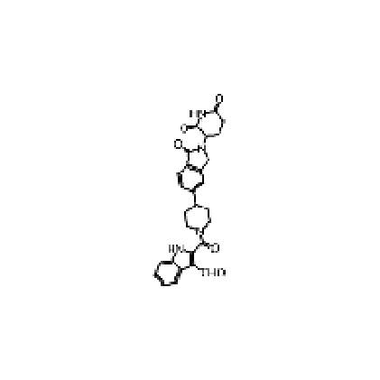 O=Cc1c(C(=O)N2CCC(c3ccc4c(c3)CN(C3CCC(=O)NC3=O)C4=O)CC2)[nH]c2ccccc12